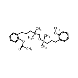 COc1ccccc1CCC[Si](C)(C)OC[Si](C)(C)CCCc1ccccc1OC(C)=O